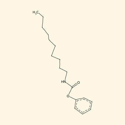 CCCCCCCCCCNC(=O)Oc1ccccc1